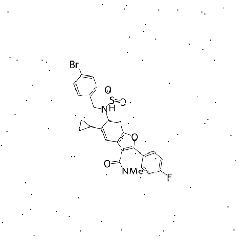 CNC(=O)c1c(-c2ccc(F)cc2)oc2cc(N(Cc3ccc(Br)cc3)[SH](=O)=O)c(C3CC3)cc12